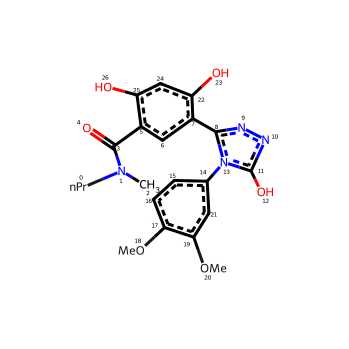 CCCN(C)C(=O)c1cc(-c2nnc(O)n2-c2ccc(OC)c(OC)c2)c(O)cc1O